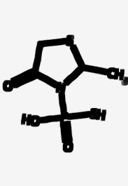 CC1SCC(=O)N1P(=O)(O)S